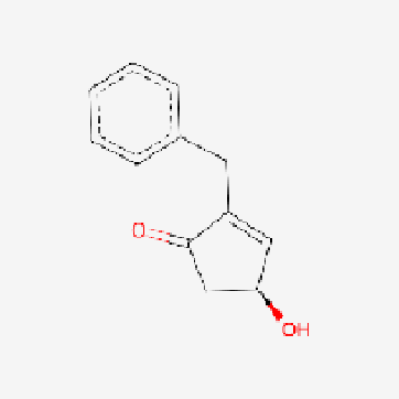 O=C1C[C@H](O)C=C1Cc1ccccc1